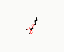 CCCCOCC(OC)OC